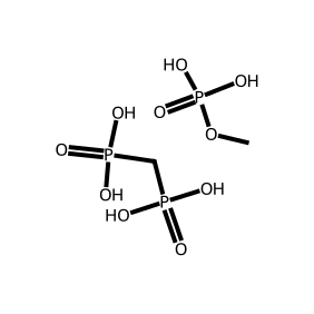 COP(=O)(O)O.O=P(O)(O)CP(=O)(O)O